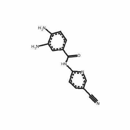 N#Cc1ccc(NC(=O)c2ccc(N)c(N)c2)nc1